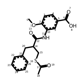 COc1ccc(C(=O)O)cc1NC(=O)C(CSC(C)=O)Cc1ccccc1